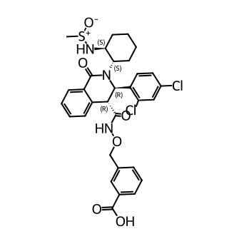 C[S+]([O-])N[C@H]1CCCC[C@@H]1N1C(=O)c2ccccc2[C@@H](C(=O)NOCc2cccc(C(=O)O)c2)[C@@H]1c1ccc(Cl)cc1Cl